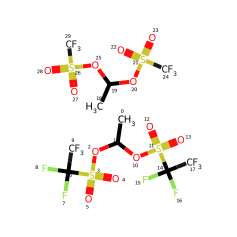 CC(OS(=O)(=O)C(F)(F)C(F)(F)F)OS(=O)(=O)C(F)(F)C(F)(F)F.CC(OS(=O)(=O)C(F)(F)F)OS(=O)(=O)C(F)(F)F